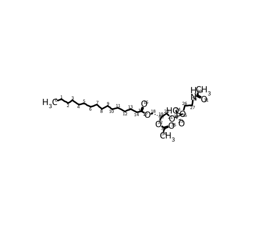 CCCCCCCCCCCCCCCC(=O)OC[C@H](COP(=O)(O)OCCNC(C)=O)OC(C)=O